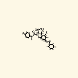 O=C(Nc1ccc(F)cc1)N[C@@H]1C(=O)NCC1c1c(F)cc(OCc2ccccc2)cc1F